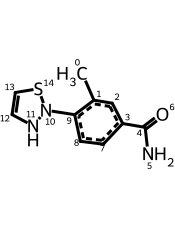 Cc1cc(C(N)=O)ccc1N1NC=CS1